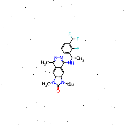 Cc1nnc(N[C@H](C)c2cccc(C(F)F)c2F)c2cc3c(cc12)n(C)c(=O)n3C(C)(C)C